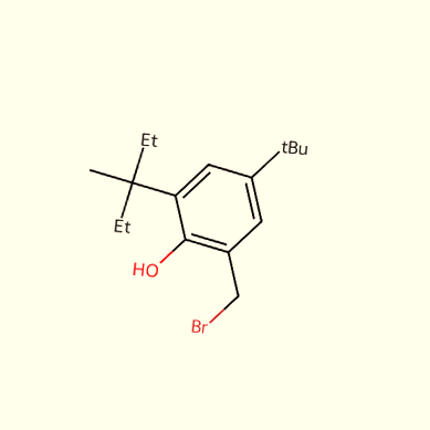 CCC(C)(CC)c1cc(C(C)(C)C)cc(CBr)c1O